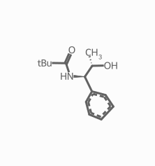 C[C@H](O)[C@H](NC(=O)C(C)(C)C)c1ccccc1